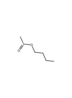 CCCCOS(C)=O